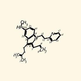 C=C(C)CCc1c(CCC)n(CCc2ccccn2)c2ccc(PC)cc12